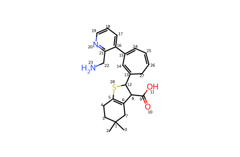 CC1(C)CCC2=C(C1)C(C(=O)O)C(C1=CC(c3cccnc3CN)=CC=CC1)S2